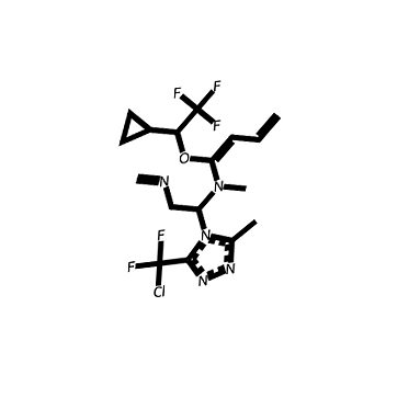 C=C/C=C(/OC(C1CC1)C(F)(F)F)N(C)C(CN=C)n1c(C)nnc1C(F)(F)Cl